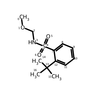 COCNS(=O)(=O)c1ccccc1C(C)(C)C